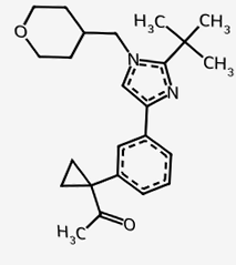 CC(=O)C1(c2cccc(-c3cn(CC4CCOCC4)c(C(C)(C)C)n3)c2)CC1